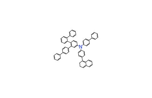 C1=c2ccccc2=C(c2ccc(N(c3ccc(-c4ccccc4)cc3)c3ccc(-c4ccccc4-c4ccccc4)c(-c4ccc(-c5ccccc5)cc4)c3)cc2)CC1